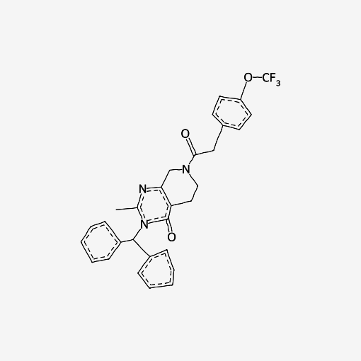 Cc1nc2c(c(=O)n1C(c1ccccc1)c1ccccc1)CCN(C(=O)Cc1ccc(OC(F)(F)F)cc1)C2